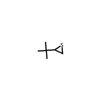 CC(C)(C)C1CS1